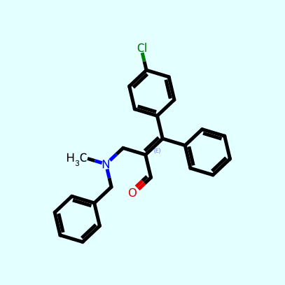 CN(C/C(C=O)=C(/c1ccccc1)c1ccc(Cl)cc1)Cc1ccccc1